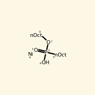 CCCCCCCCOP(=O)(O)CCCCCCCC.[Ni]